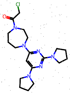 O=C(CCl)N1CCCN(c2cc(N3CCCC3)nc(N3CCCC3)n2)CC1